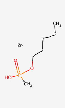 CCCCCOP(C)(=O)O.[Zn]